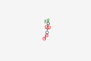 Fc1ccc(C2OCC(C3CCC(OCC4CO4)CC3)CO2)cc1F